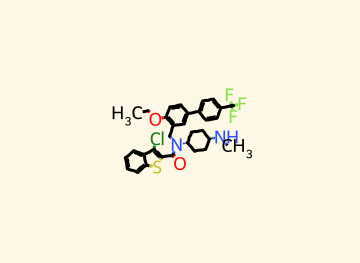 CCOc1ccc(-c2ccc(C(F)(F)F)cc2)cc1CN(C(=O)c1sc2ccccc2c1Cl)[C@H]1CC[C@H](NC)CC1